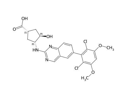 COc1cc(OC)c(Cl)c(-c2ccc3nc(N[C@@H]4C[C@H](C(=O)O)C[C@H]4O)ncc3c2)c1Cl